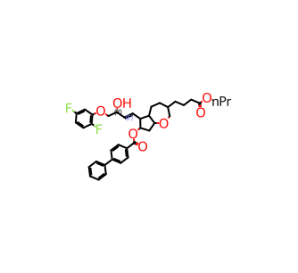 CCCOC(=O)CCCC1CCC2C(CC(OC(=O)c3ccc(-c4ccccc4)cc3)C2/C=C/[C@@H](O)COc2cc(F)ccc2F)OC1